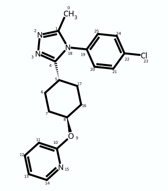 Cc1nnc([C@H]2CC[C@H](Oc3ccccn3)CC2)n1-c1ccc(Cl)cc1